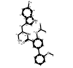 COc1ccccc1-c1ccc(OC(C)C)c(C(=O)NC(CO)Cc2c[nH]c3cc(F)ccc23)c1